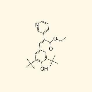 CCOC(=O)C(=Cc1cc(C(C)(C)C)c(O)c(C(C)(C)C)c1)c1cccnc1